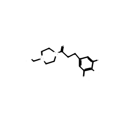 O=C(O)CN1CCN(C(=O)CCc2cc(O)c(O)c(O)c2)CC1